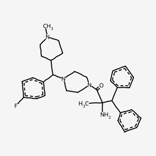 CN1CCC(C(c2ccc(F)cc2)N2CCN(C(=O)C(C)(N)C(c3ccccc3)c3ccccc3)CC2)CC1